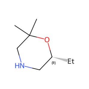 CC[C@@H]1CNCC(C)(C)O1